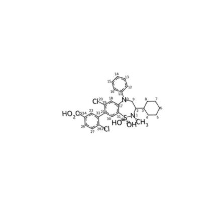 CN1C(C2CCCCC2)CN(c2ccccc2)c2cc(Cl)c(-c3cc(C(=O)O)ccc3Cl)cc2S1(O)O